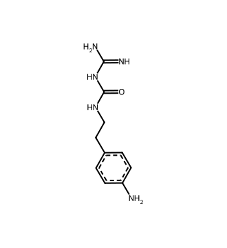 N=C(N)NC(=O)NCCc1ccc(N)cc1